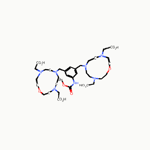 CC(C)(C)OC(=O)Nc1cc(CN2CCN(CC(=O)O)CCOCCN(CC(=O)O)CC2)cc(CN2CCN(CC(=O)O)CCOCCN(CC(=O)O)CC2)c1